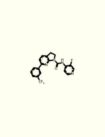 O=C(Nc1ccncc1F)N1CCc2ccc(-c3cccc(C(F)(F)F)c3)nc21